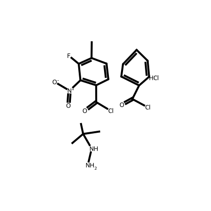 CC(C)(C)NN.Cc1ccc(C(=O)Cl)c([N+](=O)[O-])c1F.Cl.O=C(Cl)c1ccccc1